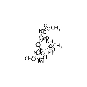 CC(=O)OC(F)(F)F.CCOC(=O)c1cnc(N2CCN3c4cccc(c4)[C@@H](n4cnc(-c5cc(Cl)ccc5-n5cc(Cl)nn5)cc4=O)CCCCCNC(=O)[C@H]3C2)o1